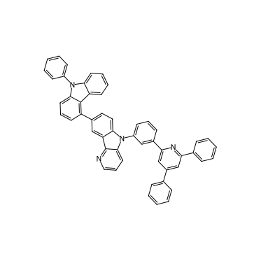 c1ccc(-c2cc(-c3ccccc3)nc(-c3cccc(-n4c5ccc(-c6cccc7c6c6ccccc6n7-c6ccccc6)cc5c5ncccc54)c3)c2)cc1